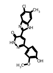 COc1cc(-c2cc(-c3nc4cc(Cl)c(C)cc4[nH]3)c(=O)[nH]n2)ccc1O